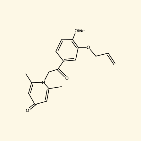 C=CCOc1cc(C(=O)Cn2c(C)cc(=O)cc2C)ccc1OC